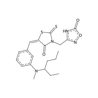 CCCC(CC)N(C)c1cccc(C=C2SC(=S)N(Cc3noc(=O)[nH]3)C2=O)c1